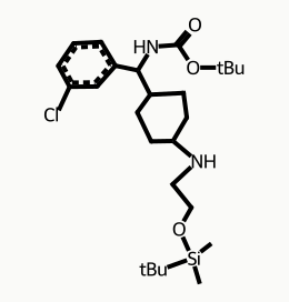 CC(C)(C)OC(=O)NC(c1cccc(Cl)c1)C1CCC(NCCO[Si](C)(C)C(C)(C)C)CC1